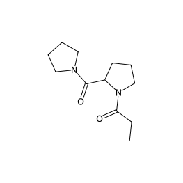 CCC(=O)N1CCCC1C(=O)N1CCCC1